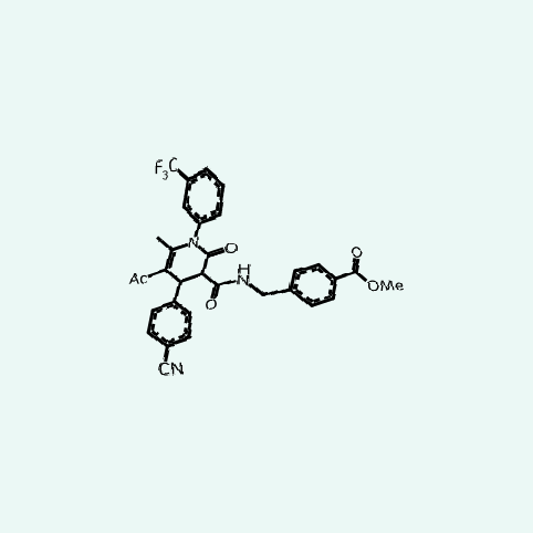 COC(=O)c1ccc(CNC(=O)C2C(=O)N(c3cccc(C(F)(F)F)c3)C(C)=C(C(C)=O)C2c2ccc(C#N)cc2)cc1